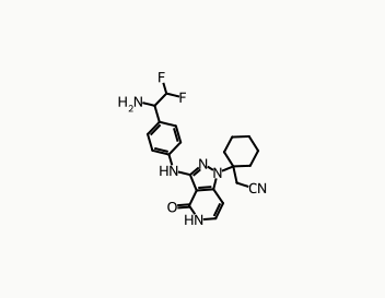 N#CCC1(n2nc(Nc3ccc(C(N)C(F)F)cc3)c3c(=O)[nH]ccc32)CCCCC1